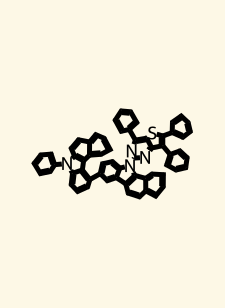 c1ccc(-c2sc3c(-c4ccccc4)nc(-n4c5ccc(-c6cccc7c6c6c8ccccc8ccc6n7-c6ccccc6)cc5c5ccc6ccccc6c54)nc3c2-c2ccccc2)cc1